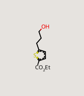 CCOC(=O)c1ccc(CCCO)s1